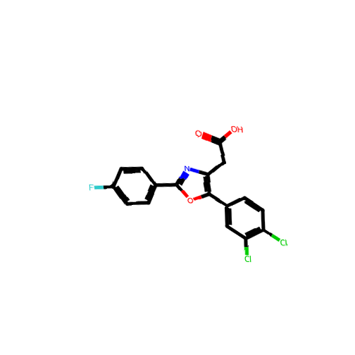 O=C(O)Cc1nc(-c2ccc(F)cc2)oc1-c1ccc(Cl)c(Cl)c1